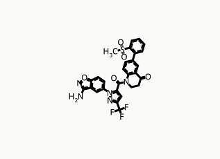 CS(=O)(=O)c1ccccc1-c1ccc2c(c1)C(=O)CCN2C(=O)c1cc(C(F)(F)F)nn1-c1ccc2onc(N)c2c1